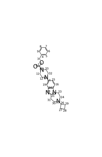 O=C(OCc1ccccc1)N1CCN(c2ccc3c(c2)nc2n3CCN(C3CCC3)CC2)CC1